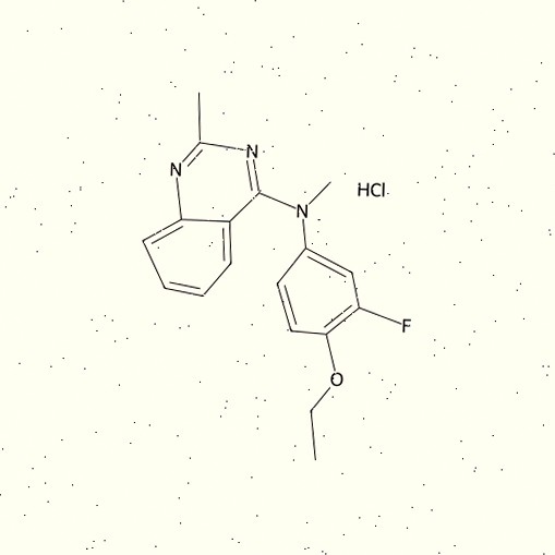 CCOc1ccc(N(C)c2nc(C)nc3ccccc23)cc1F.Cl